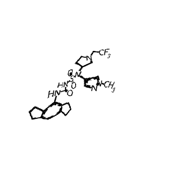 Cn1cc(N(C2CCN(CC(F)(F)F)C2)S(=O)(=O)NC(=O)Nc2c3c(cc4c2CCC4)CCC3)cn1